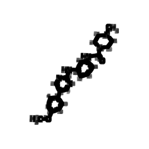 COc1ccc(-c2cnc(Nc3cccc(NC(=O)N4CCN(C)CC4)c3)nc2)cc1